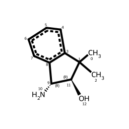 CC1(C)c2ccccc2[C@@H](N)[C@@H]1O